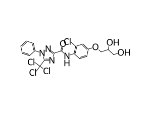 O=C(Nc1ccc(OCC(O)CO)cc1Cl)c1nc(C(Cl)(Cl)Cl)n(-c2ccccc2)n1